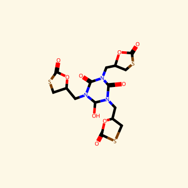 O=C1OC(CN2C(=O)N(CC3CSC(=O)O3)C(O)N(CC3CSC(=O)O3)C2=O)CS1